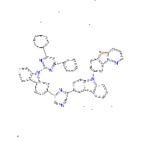 c1ccc(-c2cc(-c3ccccc3)nc(-n3c4ccccc4c4ccc(-c5cncc(-c6ccc7c(c6)c6ccccc6n7-c6ccc7sc8cccnc8c7c6)n5)cc43)n2)cc1